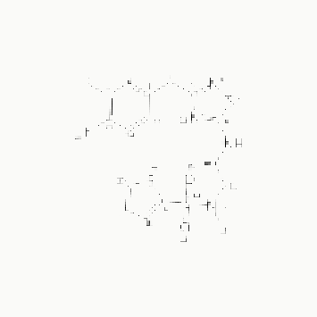 Cc1cc(Cc2nsc(NCCN(C)S(=O)(=O)c3cccs3)n2)ccc1F